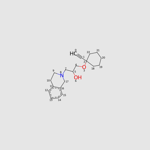 C#CC1(OCC(O)CN2CCc3ccccc3C2)CCCCC1